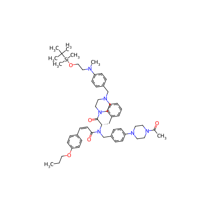 CCCOc1ccc(/C=C\C(=O)N(Cc2ccc(N3CCN(C(C)=O)CC3)cc2)[C@@H](Cc2ccccc2)C(=O)N2CCN(Cc3ccc(N(C)CCO[Si](C)(C)C(C)(C)C)cc3)CC2)cc1